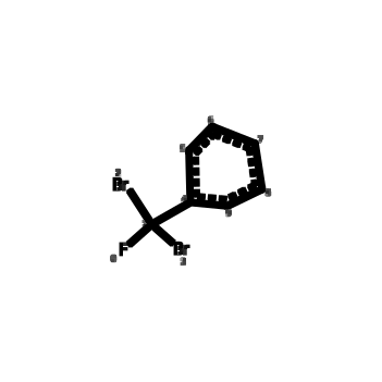 FC(Br)(Br)c1ccccc1